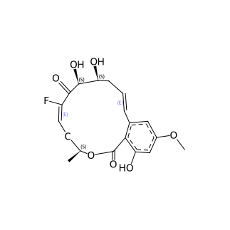 COc1cc(O)c2c(c1)/C=C/C[C@H](O)[C@H](O)C(=O)/C(F)=C\C[C@H](C)OC2=O